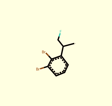 [CH2]C(CF)c1cccc(Br)c1Br